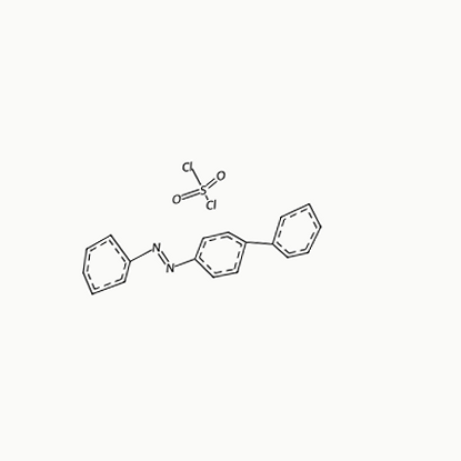 O=S(=O)(Cl)Cl.c1ccc(N=Nc2ccc(-c3ccccc3)cc2)cc1